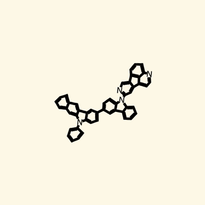 c1ccc(-n2c3ccc(-c4ccc5c(c4)c4ccccc4n5-c4cc5c(cn4)-c4cccc6nccc-5c46)cc3c3cc4ccccc4cc32)cc1